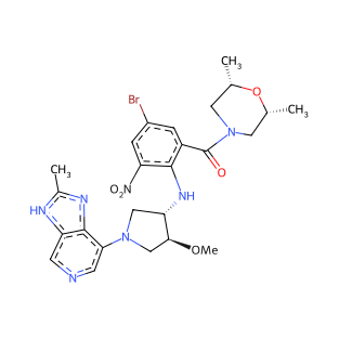 CO[C@H]1CN(c2cncc3[nH]c(C)nc23)C[C@@H]1Nc1c(C(=O)N2C[C@@H](C)O[C@@H](C)C2)cc(Br)cc1[N+](=O)[O-]